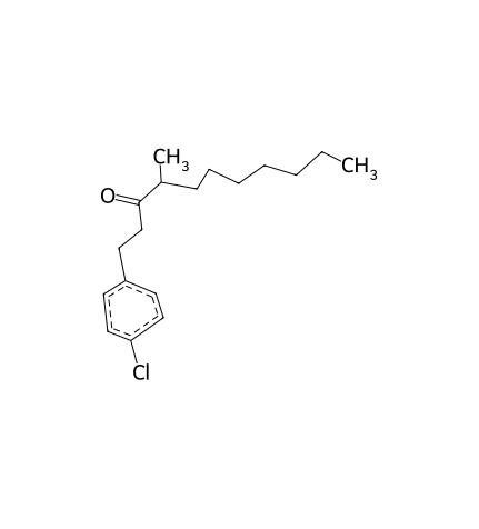 CCCCCCCC(C)C(=O)CCc1ccc(Cl)cc1